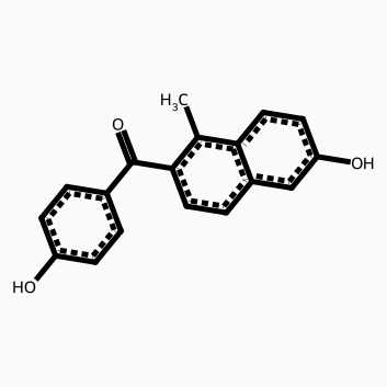 Cc1c(C(=O)c2ccc(O)cc2)ccc2cc(O)ccc12